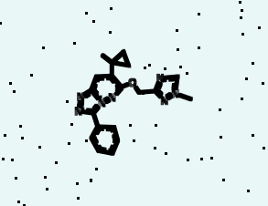 Cn1cnc(COc2nn3c(-c4ccccc4)nnc3cc2C2(C)CC2)n1